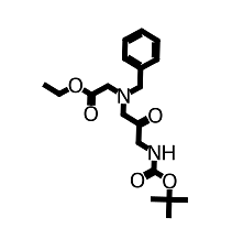 CCOC(=O)CN(CC(=O)CNC(=O)OC(C)(C)C)Cc1ccccc1